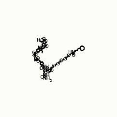 CCc1c2c(nc3ccc(OC(=O)N(C)CCN(C)C(=O)OCc4ccc(NC(=O)[C@H](CCCNC(N)=O)NC(=O)[C@@H](NC(=O)CCOCCOCCOCCOCCOCCC(=O)NCCCCC5CCCCCCC5)C(C)C)cc4)cc13)-c1cc3c(c(=O)n1C2)COC(=O)[C@]3(O)CC